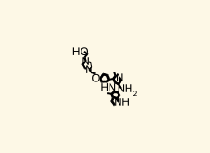 Cc1ncc(N)c(Nc2ccc3[nH]ccc3c2C)c1-c1ccc(OCCN2CCN(CCO)CC2)cc1